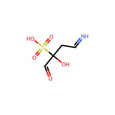 N=[C]CC(O)([C]=O)S(=O)(=O)O